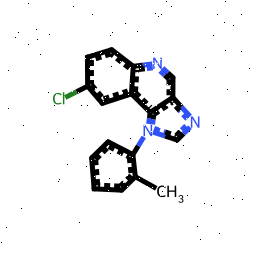 Cc1ccccc1-n1cnc2cnc3ccc(Cl)cc3c21